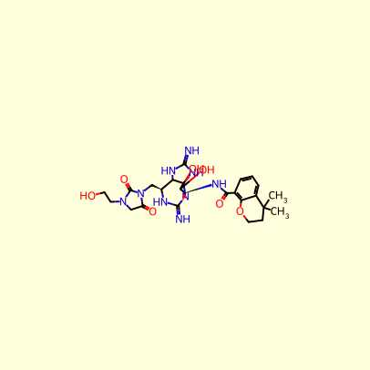 CC1(C)CCOc2c(C(=O)N[C@H]3CN4C(=N)N[C@@H](CN5C(=O)CN(CCO)C5=O)C5NC(=N)NC54C3(O)O)cccc21